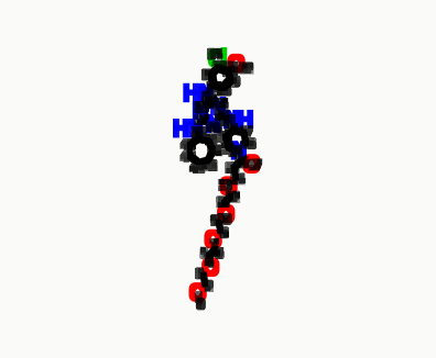 COCCOCCOCCOCCOCCC(=O)N1C=CC(Nc2nc(Nc3ccc(OC)c(Cl)c3)nc(NC3CCCCCC3)n2)CC1